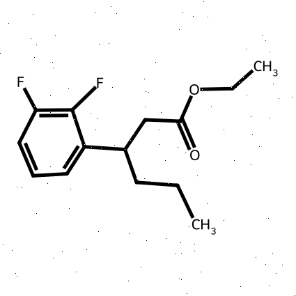 CCCC(CC(=O)OCC)c1cccc(F)c1F